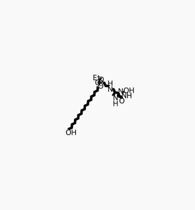 CCOP(=O)(CCCNCC1CNc2c1nc(O)[nH]c2=O)OCCCCCCCCCCCCCCCCCCCO